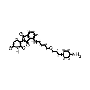 NC1CCN(CCCOCCCCNc2cccc3c2C(=O)N(C2CCC(=O)NC2=O)C3=O)CC1